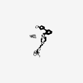 COC(=O)COCC=CCN1CCN(Cc2ccccc2-c2ccc(Cl)cc2)CC1.Cl.Cl